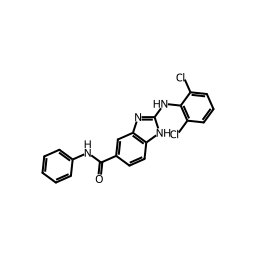 O=C(Nc1ccccc1)c1ccc2[nH]c(Nc3c(Cl)cccc3Cl)nc2c1